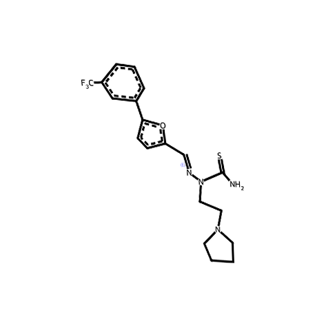 NC(=S)N(CCN1CCCC1)/N=C/c1ccc(-c2cccc(C(F)(F)F)c2)o1